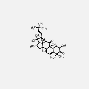 CC(C)(O)/C=C/C(=O)C(C)(O)C1C(O)CC2(C)C3CC=C4C(CC(O)C(=O)C4(C)C)C3(C)C(=O)CC12C